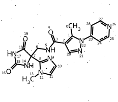 Cc1c(C(=O)NCC2(c3nccn3C)NC(=O)NC2=O)cnn1-c1ccncc1